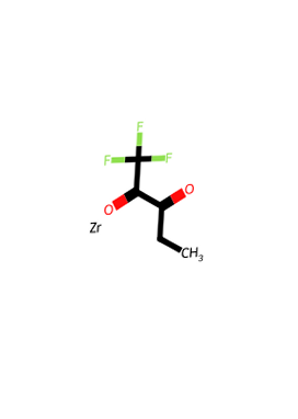 CCC(=O)C(=O)C(F)(F)F.[Zr]